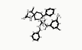 Cc1cc([C@@H](C)OC[C@@]2(c3ccccc3)CCC3(CN2C(=O)OCc2ccccc2)NC(=O)OC3C)cc(C(F)(F)F)c1